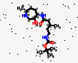 C[C@@H](CCNC(=O)OC(C)(C)C)CC(=O)N[C@H]1CC[C@@H](C)NCC1O